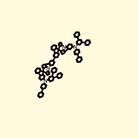 c1ccc(-c2ccc(N(c3ccc(-c4ccccc4)c(-c4ccccc4)c3)c3ccc4c(c3)C3(c5ccccc5-4)c4ccccc4-n4c5ccc(-c6ccc7c(c6)-c6ccccc6C76c7ccccc7-n7c8ccc(N(c9ccc(-c%10ccccc%10)cc9)c9cc(-c%10ccccc%10)cc(-c%10ccccc%10)c9)cc8c8cccc6c87)cc5c5cccc3c54)cc2)cc1